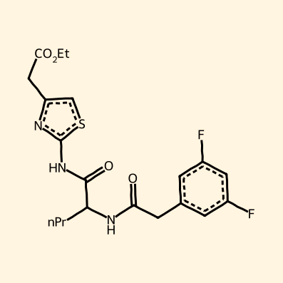 CCCC(NC(=O)Cc1cc(F)cc(F)c1)C(=O)Nc1nc(CC(=O)OCC)cs1